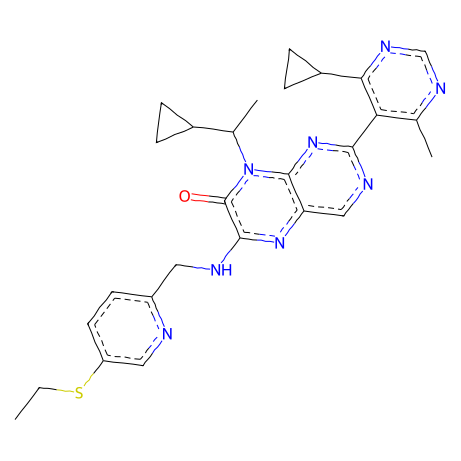 CCSc1ccc(CNc2nc3cnc(-c4c(C)ncnc4C4CC4)nc3n(C(C)C3CC3)c2=O)nc1